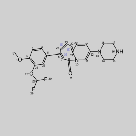 COc1ccc(C2=C\C(=O)N3C=C(N4CCNCC4)C=C\C3=C/C=C/2)cc1OC(F)F